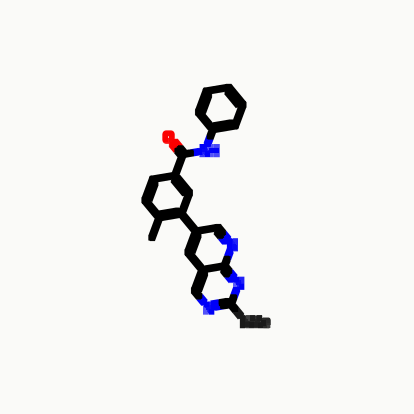 CNc1ncc2cc(-c3cc(C(=O)Nc4ccccc4)ccc3C)cnc2n1